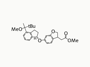 COC(=O)CC1COc2cc(O[C@@H]3CCc4c3cccc4C(C)(OC)C(C)(C)C)ccc21